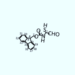 O=CC(S)NC(=O)OCC1c2ccccc2-c2ccccc21